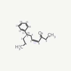 CCC[C@H](C/C=C\C(=O)CC)c1ccccc1